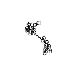 Cc1sc2c(c1C)C(c1ccc(Cl)cc1)=N[C@@H](CC(=O)NCCCCCCC(=O)Oc1cccc3c1CN(C1CCC(=O)NC1=O)C3=O)c1nnc(C)n1-2